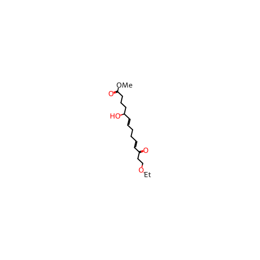 CCOCCC(=O)C=CCCC=CC(O)CCCC(=O)OC